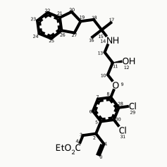 C=CC(CC(=O)OCC)c1ccc(OC[C@H](O)CNC(C)(C)CC2Cc3ccccc3C2)c(Cl)c1Cl